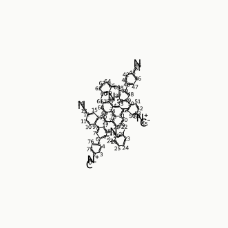 [C-]#[N+]c1ccc(-c2cc(-c3ccc(C#N)cc3)cc(N(c3c(C)cccc3C)c3ccc4ccc5c(N(c6cc(-c7ccc(C#N)cc7)cc(-c7ccc([N+]#[C-])cc7)c6)c6c(C)cccc6C)ccc6ccc3c4c65)c2)cc1